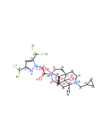 O=C(Cn1nc(C(F)F)cc1C(F)F)N1CC[C@]23CCN(CC4CC4)[C@H](Cc4ccc(O)cc42)[C@]3(O)CC1